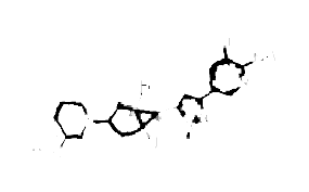 CO[C@H]1CCCN(C2C[C@@H]3[C@H](C2)[C@H]3c2cc(-c3cnc(N)c(C(F)(F)F)c3)nn2C(C)C)C1